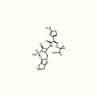 Nc1nc(C(=NOC2(C(=O)O)CC2)C(=O)N[C@@H]2C(=O)N(S(=O)(=O)O)[C@@H]2Cn2nc3c(n2)CNC3)cs1